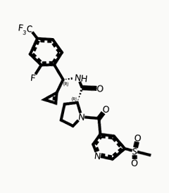 CS(=O)(=O)c1cncc(C(=O)N2CCC[C@@H]2C(=O)N[C@H](C2=CC2)c2ccc(C(F)(F)F)cc2F)c1